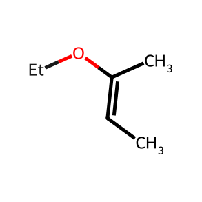 CC=C(C)OCC